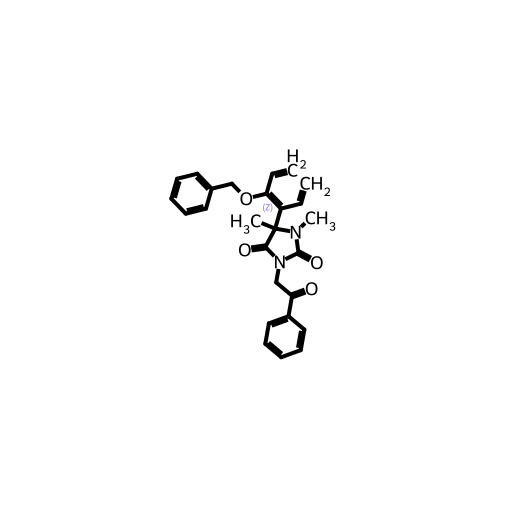 C=C/C(OCc1ccccc1)=C(\C=C)C1(C)C(=O)N(CC(=O)c2ccccc2)C(=O)N1C